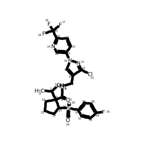 CC(C)C1(C(=O)NCc2cn(-c3ccc(C(F)(F)F)nc3)nc2Cl)CCCC1S(=O)(=O)c1ccc(F)cc1